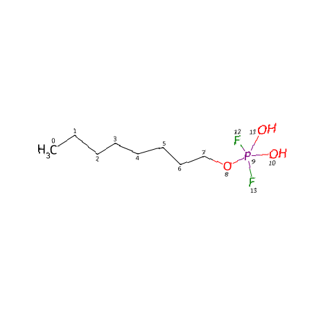 CCCCCCCCOP(O)(O)(F)F